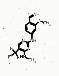 CNc1cc(Nc2ncc(C(F)(F)F)c(NC)n2)ccc1C=N